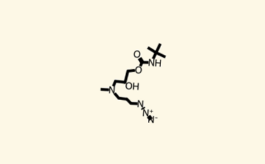 CN(CCCN=[N+]=[N-])C[C@H](O)COC(=O)NC(C)(C)C